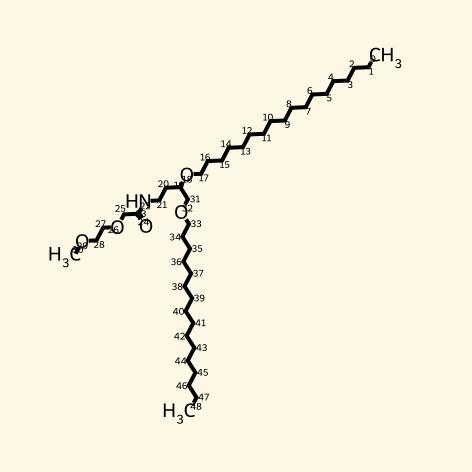 CCCCCCCCCCCCCCCCCCOC(CCNC(=O)COCCOC)COCCCCCCCCCCCCCCCC